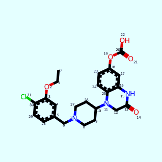 CCOc1cc(CN2CCC(N3CC(=O)Nc4cc(OC(=O)O)ccc43)CC2)ccc1Cl